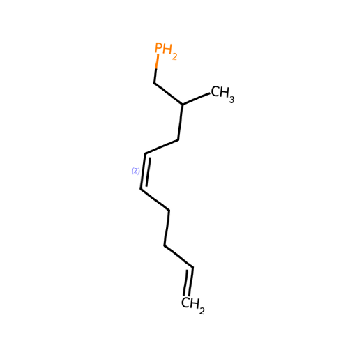 C=CCC/C=C\CC(C)CP